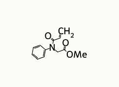 C=CC(=O)N(CC(=O)OC)c1ccccc1